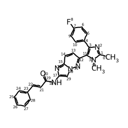 Cc1nc(-c2ccc(F)cc2)c(-c2ccc3nc(NC(=O)C=Cc4ccccc4)cn3n2)n1C